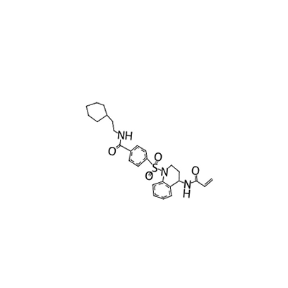 C=CC(=O)NC1CCN(S(=O)(=O)c2ccc(C(=O)NCCC3CCCCC3)cc2)c2ccccc21